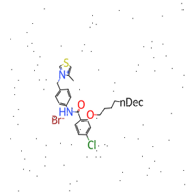 CCCCCCCCCCCCCCOc1cc(Cl)ccc1C(=O)Nc1ccc(C[n+]2cscc2C)cc1.[Br-]